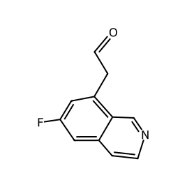 O=CCc1cc(F)cc2ccncc12